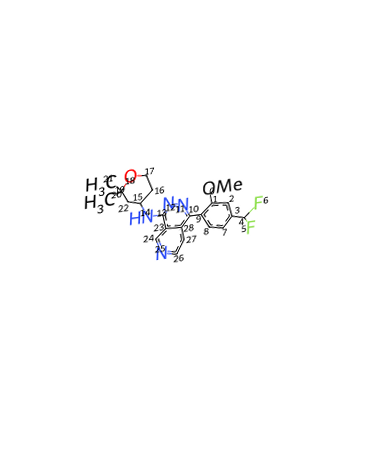 COc1cc(C(F)F)ccc1-c1nnc(NC2CCOC(C)(C)C2)c2cnccc12